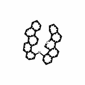 c1ccc2c(c1)ccc1c2ccc2c1ccc1cccc([N]c3cccc4ccc5c6ccc7ccccc7c6ccc5c34)c12